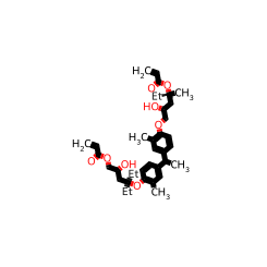 C=CC(=O)OCC(O)CC(CC)(CC)Oc1ccc(C(C)c2ccc(OCC(O)C[C@](C)(CC)OC(=O)C=C)c(C)c2)cc1C